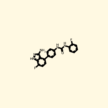 Nc1n[nH]c2c(F)ccc(-c3ccc(NC(=O)Nc4ccccc4F)cc3)c12